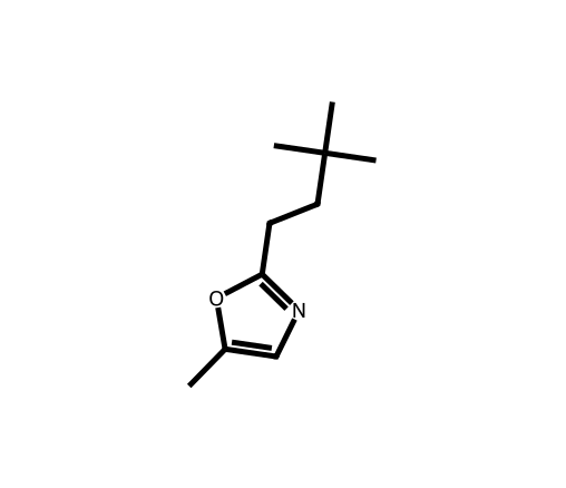 Cc1cnc(CCC(C)(C)C)o1